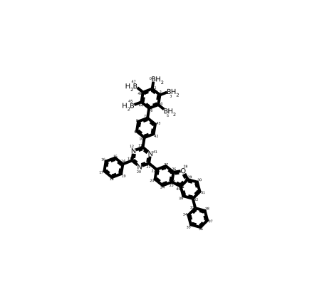 Bc1c(B)c(B)c(-c2ccc(-c3nc(-c4ccccc4)nc(-c4ccc5c(c4)oc4ccc(-c6ccccc6)cc45)n3)cc2)c(B)c1B